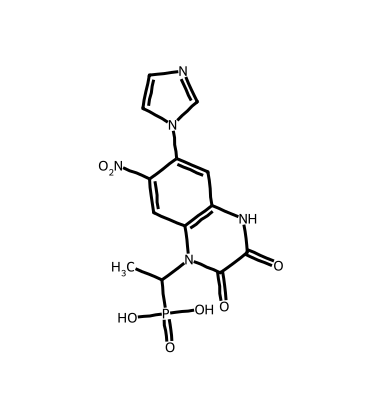 CC(n1c(=O)c(=O)[nH]c2cc(-n3ccnc3)c([N+](=O)[O-])cc21)P(=O)(O)O